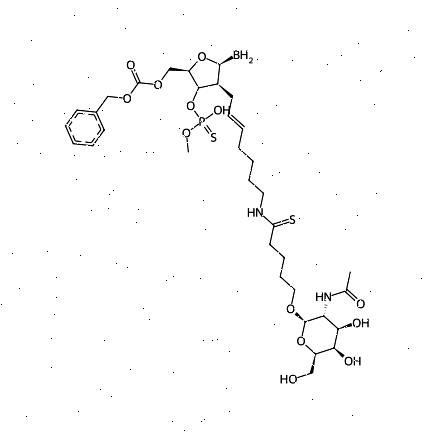 B[C@@H]1O[C@H](COC(=O)OCc2ccccc2)C(OP(O)(=S)OC)[C@@H]1C/C=C/CCCCNC(=S)CCCCO[C@@H]1O[C@H](CO)[C@H](O)[C@H](O)[C@H]1NC(C)=O